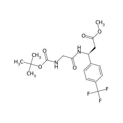 COC(=O)C[C@H](NC(=O)CNC(=O)OC(C)(C)C)c1ccc(C(F)(F)F)cc1